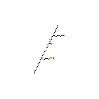 CCCCCCCCN(CCCN)CCCCCCCC(=O)OCCC(CCCCC)CCCCC